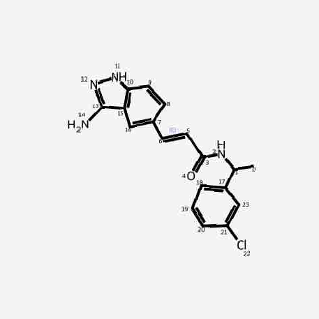 CC(NC(=O)/C=C/c1ccc2[nH]nc(N)c2c1)c1cccc(Cl)c1